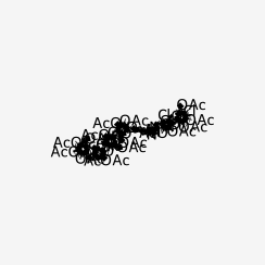 CC(=O)OCC1=C[C@H](N(C(C)=O)[C@H]2CC(OC(C)=O)[C@@H](O[C@@H]3C(COC(C)=O)O[C@H](O[C@@H]4C(COC(C)=O)O[C@@H](OCCCc5cn(C[C@H]6O[C@@](CCl)(O[C@H]7O[C@H](COC(C)=O)[C@H](Cl)[C@H](OC(C)=O)[C@H]7OC(C)=O)[C@@H](OC(C)=O)[C@@H]6OC(C)=O)nn5)[C@@H](OC(C)=O)C4OC(C)=O)C(OC(C)=O)C3OC(C)=O)OC2C)[C@H](OC(C)=O)[C@@H](OC(C)=O)[C@@H]1OC(C)=O